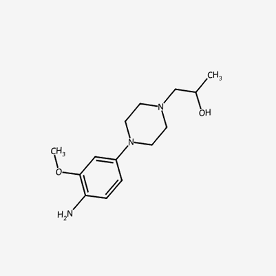 COc1cc(N2CCN(CC(C)O)CC2)ccc1N